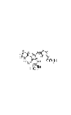 Cl.O=C(O)CC1CCN(CCC=C2c3ccccc3CCc3cc(Br)ccc32)C1